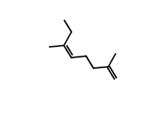 C=C(C)CCC=C(C)CC